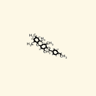 C=Cc1ccc(COc2c(C)cc(Oc3c(C)cc(C)cc3C)cc2C)cc1